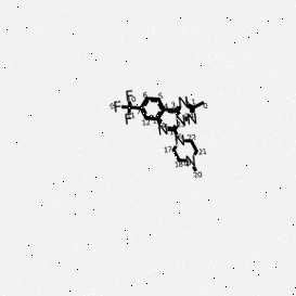 Cc1nc2c3ccc(C(F)(F)F)cc3nc(N3CCN(C)CC3)n2n1